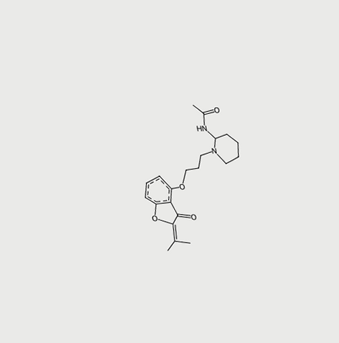 CC(=O)NC1CCCCN1CCCOc1cccc2c1C(=O)C(=C(C)C)O2